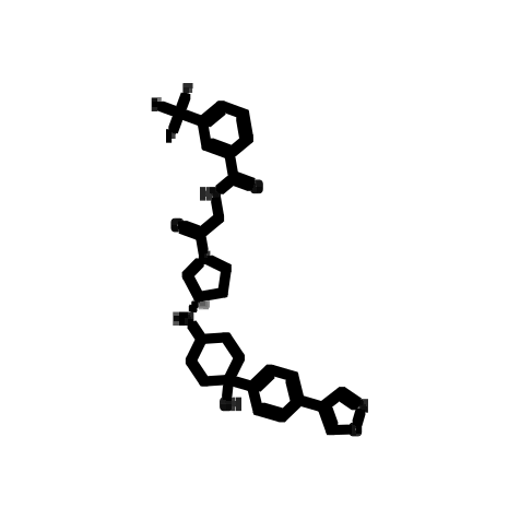 O=C(NCC(=O)N1CC[C@H](NC2CCC(O)(c3ccc(-c4cnoc4)cc3)CC2)C1)c1cccc(C(F)(F)F)c1